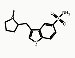 CN1CCCC1Cc1c[nH]c2ccc(S(N)(=O)=O)cc12